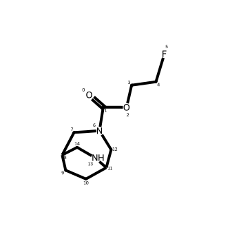 O=C(OCCF)N1CC2CCC(C1)NC2